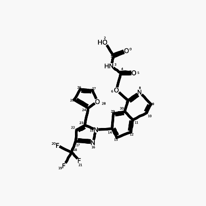 O=C(O)NC(=O)Oc1nccc2ccc(-n3nc(C(F)(F)F)cc3-c3ccco3)cc12